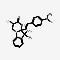 CC1CN2c3ccccc3C(C)(C)C2(C=Cc2ccc(N(C)C)cc2)NC1=O